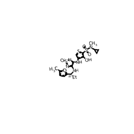 CC[C@@H](Nc1n[s+]([O-])nc1Nc1csc(S(=O)(=O)N(C)C2CC2)c1O)c1ccc(C)o1